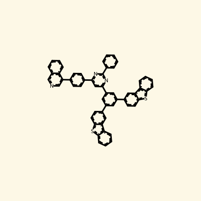 c1ccc(-c2nc(-c3ccc(-c4cncc5ccccc45)cc3)cc(-c3cc(-c4ccc5sc6ccccc6c5c4)cc(-c4ccc5sc6ccccc6c5c4)c3)n2)cc1